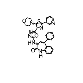 O=C1Nc2ccccc2C(c2ccccc2)=C[C@H]1Nc1nnc(-c2nc(-c3cccnc3)sc2N2CCOCC2)o1